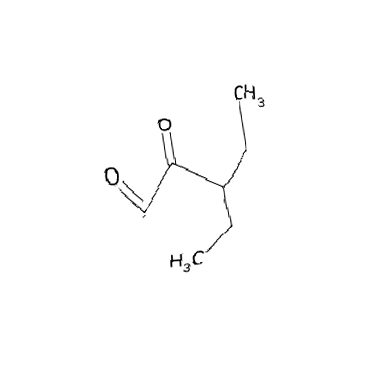 CCC(CC)C(=O)[C]=O